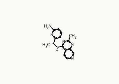 Cc1nc(N[C@H](C)c2cccc(N)n2)c2ccncc2n1